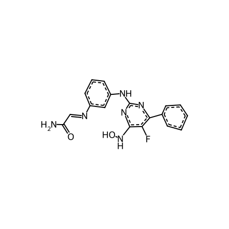 NC(=O)C=Nc1cccc(Nc2nc(NO)c(F)c(-c3ccccc3)n2)c1